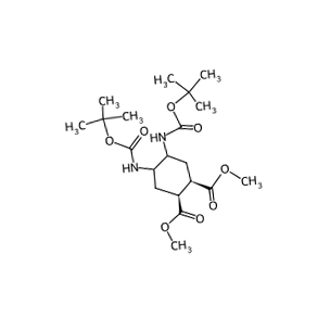 COC(=O)[C@H]1CC(NC(=O)OC(C)(C)C)C(NC(=O)OC(C)(C)C)C[C@H]1C(=O)OC